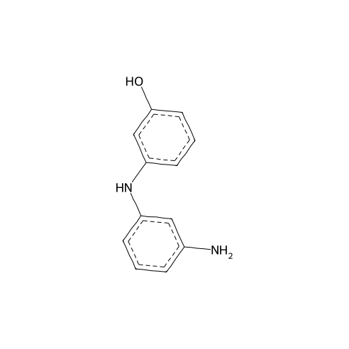 Nc1cccc(Nc2cccc(O)c2)c1